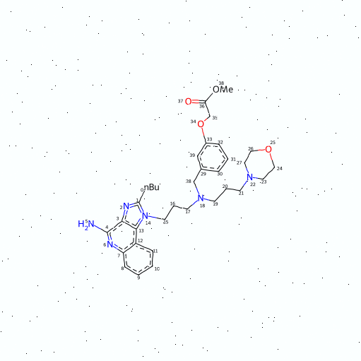 CCCCc1nc2c(N)nc3ccccc3c2n1CCCN(CCCN1CCOCC1)Cc1cccc(OCC(=O)OC)c1